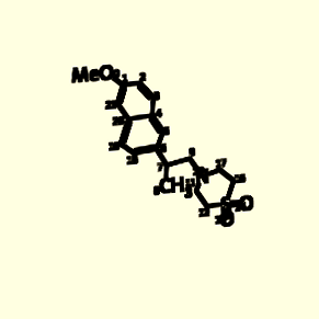 COc1ccc2cc(C(C)CN3CCS(=O)(=O)CC3)ccc2c1